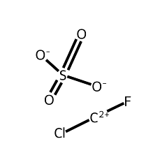 F[C+2]Cl.O=S(=O)([O-])[O-]